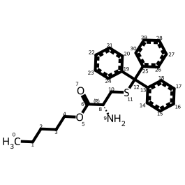 CCCCCOC(=O)[C@@H](N)CSC(c1ccccc1)(c1ccccc1)c1ccccc1